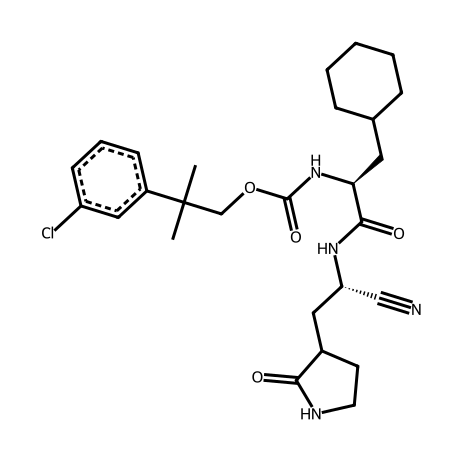 CC(C)(COC(=O)N[C@@H](CC1CCCCC1)C(=O)N[C@H](C#N)CC1CCNC1=O)c1cccc(Cl)c1